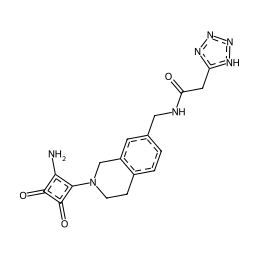 Nc1c(N2CCc3ccc(CNC(=O)Cc4nnn[nH]4)cc3C2)c(=O)c1=O